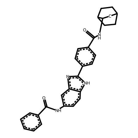 O=C(Nc1ccc2[nH]c(-c3ccc(C(=O)NC4CC5CCC4CC5)cc3)nc2c1)c1ccccc1